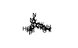 N#Cc1cc(-c2ccn3nc(NC(=O)C4CC4)cc3c2)c(N2CC[C@](O)(C(F)(F)F)C2)cn1